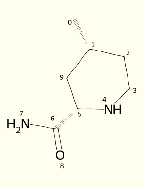 C[C@@H]1CCN[C@H](C(N)=O)C1